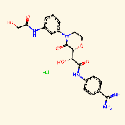 Cl.N=C(N)c1ccc(NC(=O)[C@H](O)[C@H]2OCCN(c3cccc(NC(=O)CO)c3)C2=O)cc1